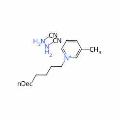 CCCCCCCCCCCCCC[n+]1cccc(C)c1.N#CN.N#CN